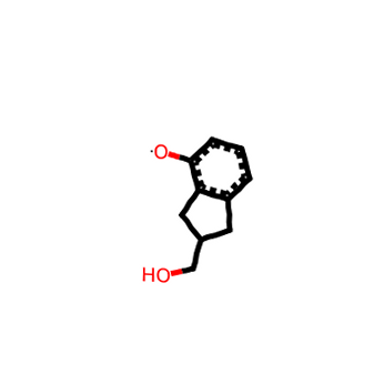 [O]c1cccc2c1CC(CO)C2